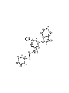 Clc1cc(-c2c[nH]c3ncccc23)cc(NCCc2ccccc2)n1